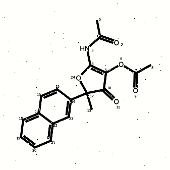 CC(=O)NC1=C(OC(C)=O)C(=O)C(C)(c2ccc3ccccc3c2)O1